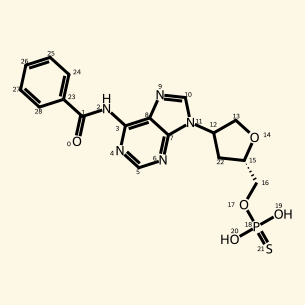 O=C(Nc1ncnc2c1ncn2C1CO[C@H](COP(O)(O)=S)C1)c1ccccc1